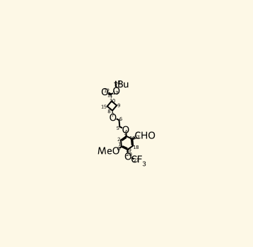 COc1cc(OCCO[C@H]2C[C@@H](C(=O)OC(C)(C)C)C2)c(C=O)cc1OC(F)(F)F